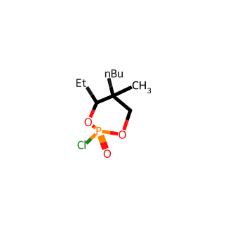 CCCCC1(C)COP(=O)(Cl)OC1CC